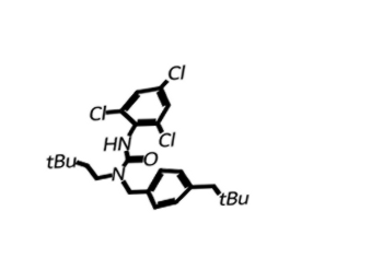 CC(C)(C)CCN(Cc1ccc(CC(C)(C)C)cc1)C(=O)Nc1c(Cl)cc(Cl)cc1Cl